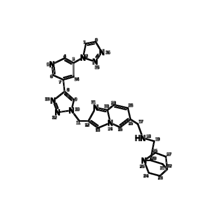 c1cn(-c2cncc(-c3cn(Cc4cn5cc(CNCC6CC7CCN6CC7)ccc5n4)nn3)c2)nn1